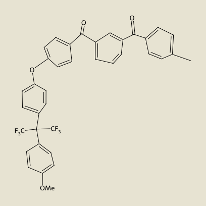 COc1ccc(C(c2ccc(Oc3ccc(C(=O)c4cccc(C(=O)c5ccc(C)cc5)c4)cc3)cc2)(C(F)(F)F)C(F)(F)F)cc1